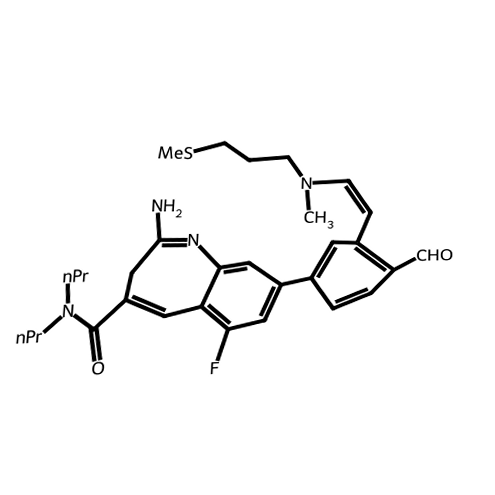 CCCN(CCC)C(=O)C1=Cc2c(F)cc(-c3ccc(C=O)c(/C=C\N(C)CCCSC)c3)cc2N=C(N)C1